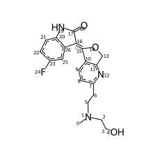 CN(CCO)CCc1ccc2c(n1)CO/C2=C1\C(=O)Nc2ccc(F)cc21